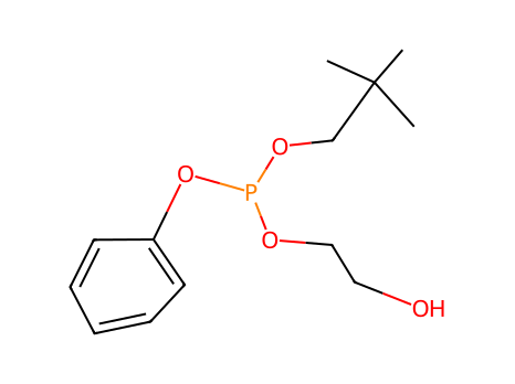 CC(C)(C)COP(OCCO)Oc1ccccc1